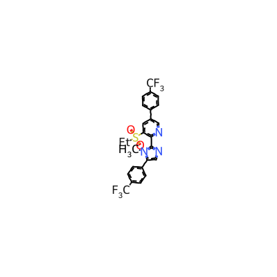 CCS(=O)(=O)c1cc(-c2ccc(C(F)(F)F)cc2)cnc1-c1ncc(-c2ccc(C(F)(F)F)cc2)n1C